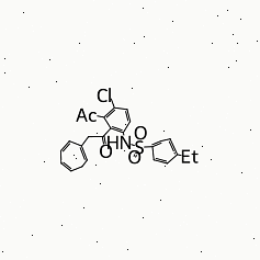 CCc1ccc(S(=O)(=O)Nc2ccc(Cl)c(C(C)=O)c2C(=O)CC2=CCC=CC=C2)cc1